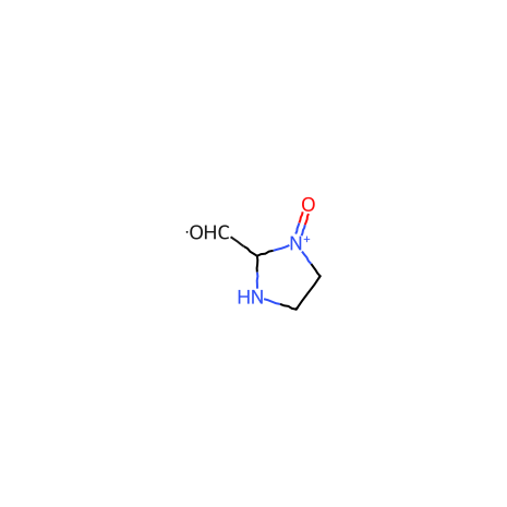 O=[C]C1NCC[N+]1=O